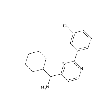 NC(c1ccnc(-c2cncc(Cl)c2)n1)C1CCCCC1